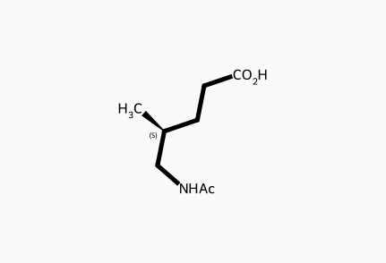 CC(=O)NC[C@@H](C)CCC(=O)O